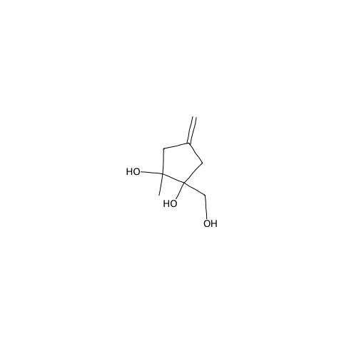 C=C1CC(C)(O)C(O)(CO)C1